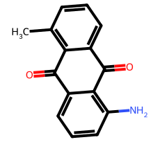 Cc1cccc2c1C(=O)c1cccc(N)c1C2=O